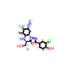 [C-]#[N+]c1ccc(N[C@@H](c2nnc(-c3ccc(O)c(Cl)c3)o2)[C@H](C)O)c(C)c1Cl